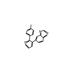 Cc1ccc(-c2ncccc2-c2ccc3cncnc3c2)cc1